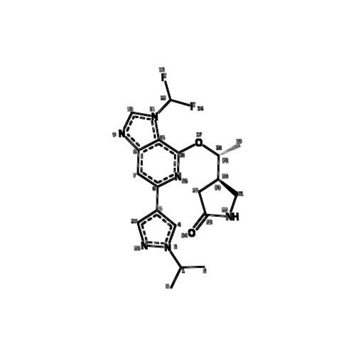 CC(C)n1cc(-c2cc3ncn(C(F)F)c3c(O[C@H](C)[C@H]3CNC(=O)C3)n2)cn1